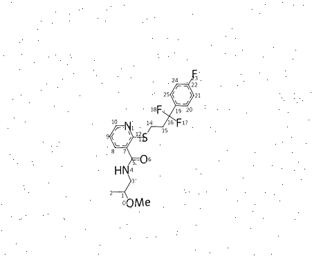 COC(C)CNC(=O)c1cccnc1SCCC(F)(F)c1ccc(F)cc1